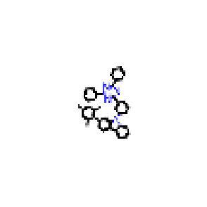 Cc1cc(C)c(-c2ccc3c4ccccc4n(-c4cccc(-c5nc(-c6ccccc6)nc(-c6ccccc6)n5)c4)c3c2)c(C)c1